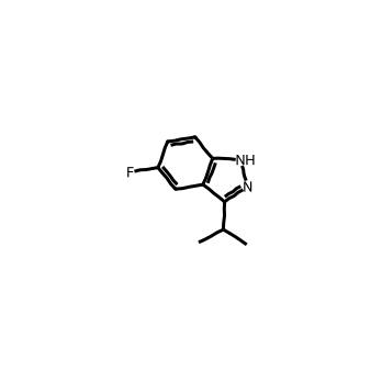 CC(C)c1n[nH]c2ccc(F)cc12